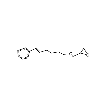 C(=Cc1ccccc1)CCCCOCC1CO1